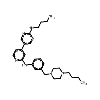 CCCCN1CCN(Cc2cccc(Nc3cc(-c4cnc(NCCCN)nc4)ccn3)c2)CC1